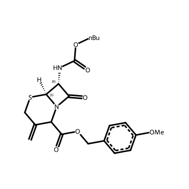 C=C1CS[C@H]2[C@H](NC(=O)OCCCC)C(=O)N2C1C(=O)OCc1ccc(OC)cc1